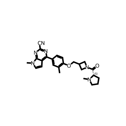 Cc1cc(-c2nc(C#N)nc3c2ccn3C)ccc1OCC1CN(C(=O)[C@@H]2CCCN2C)C1